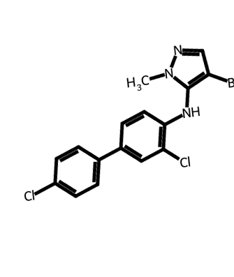 Cn1ncc(Br)c1Nc1ccc(-c2ccc(Cl)cc2)cc1Cl